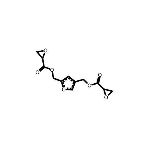 O=C(OCc1coc(COC(=O)C2CO2)c1)C1CO1